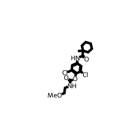 COCCNC(=O)Oc1c(Cl)cc(NC(=O)C2(C)CCCCC2)cc1Cl